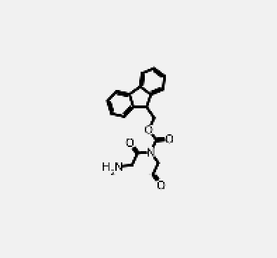 NCC(=O)N(C[C]=O)C(=O)OCC1c2ccccc2-c2ccccc21